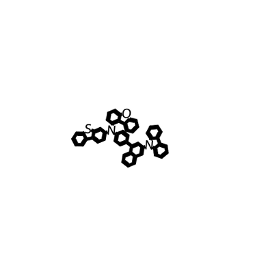 c1ccc2c(-c3ccc(N(c4ccc5c(c4)sc4ccccc45)c4cccc5oc6ccccc6c45)cc3)cc(-n3c4ccccc4c4ccccc43)cc2c1